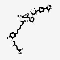 Cc1ncsc1-c1ccc([C@H](C)NC(=O)[C@@H]2C[C@@H](O)CN2C(=O)[C@@H](NC(=O)CCCCCc2ccc(F)c(OC[C@@H](N)CCC(N)=O)c2)C(C)(C)C)cc1